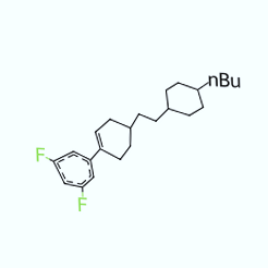 CCCCC1CCC(CCC2CC=C(c3cc(F)cc(F)c3)CC2)CC1